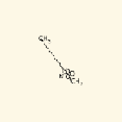 C=CCOc1c(C#N)n(C=CCCCCCCCCCCCCCCCC)ccc1=O